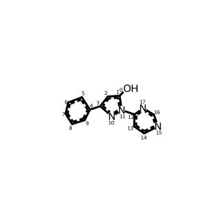 Oc1cc(-c2ccccc2)nn1-c1ccncn1